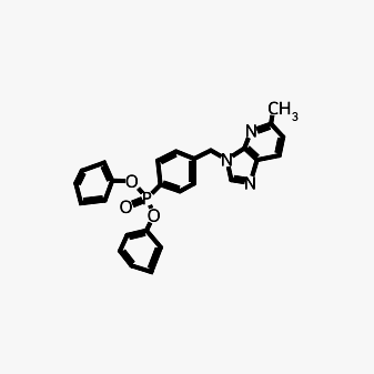 Cc1ccc2ncn(Cc3ccc(P(=O)(Oc4ccccc4)Oc4ccccc4)cc3)c2n1